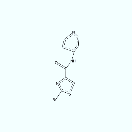 O=C(Nc1ccncc1)c1csc(Br)n1